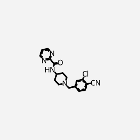 N#Cc1ccc(CN2CCC(NC(=O)c3ncccn3)CC2)cc1Cl